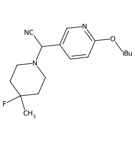 CCC(C)Oc1ccc(C(C#N)N2CCC(C)(F)CC2)cn1